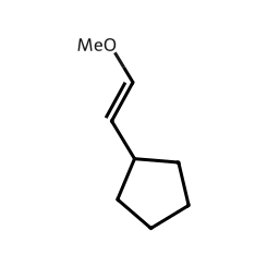 CO/C=C/C1CCCC1